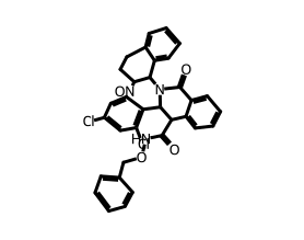 O=NC1CCc2ccccc2C1N1C(=O)c2ccccc2C(C(=O)NOCc2ccccc2)C1c1ccc(Cl)cc1Cl